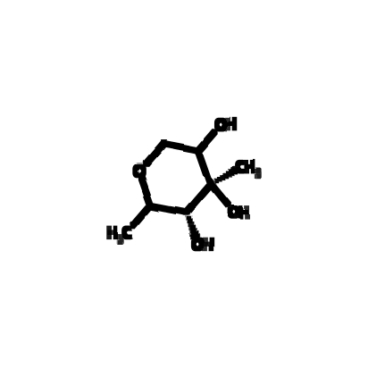 CC1OCC(O)[C@@](C)(O)[C@@H]1O